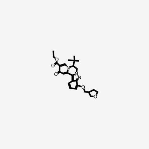 CCOC(=O)c1cn2c(cc1=O)-c1c3cccc(OCC4CCOC4)c3nn1CC2C(C)(C)C